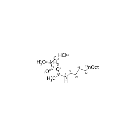 C=C(C)C(=O)OC(C)NCCCCCCCCCCCC.Cl